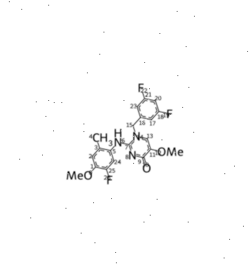 COc1cc(C)c(Nc2nc(=O)c(OC)cn2Cc2cc(F)cc(F)c2)cc1F